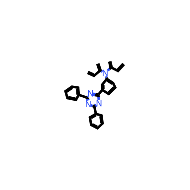 C=CC(=C)N(C(=C)C=C)c1cccc(-c2nc(-c3ccccc3)nc(-c3ccccc3)n2)c1